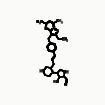 CCc1nn2c(C)cc(C)nc2c1Cc1ccc(C=CCC2CNCCN2C2CNC(C=O)C2O)cc1